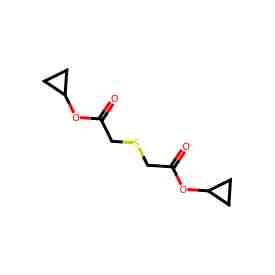 O=C(CSCC(=O)OC1CC1)OC1CC1